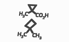 CC1(C(=O)O)CC1.CC1(C)CCC1